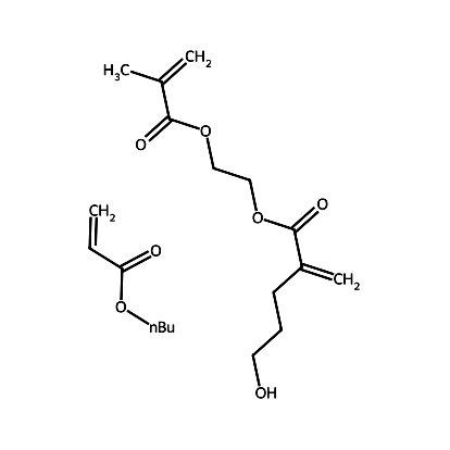 C=C(C)C(=O)OCCOC(=O)C(=C)CCCO.C=CC(=O)OCCCC